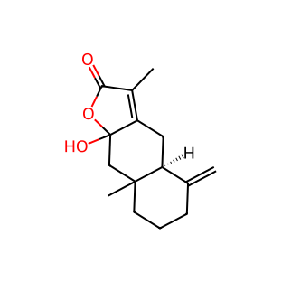 C=C1CCCC2(C)CC3(O)OC(=O)C(C)=C3C[C@@H]12